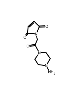 NN1CCN(C(=O)CN2C(=O)C=CC2=O)CC1